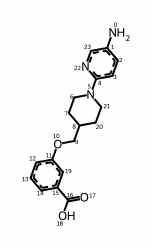 Nc1ccc(N2CCC(COc3cccc(C(=O)O)c3)CC2)nc1